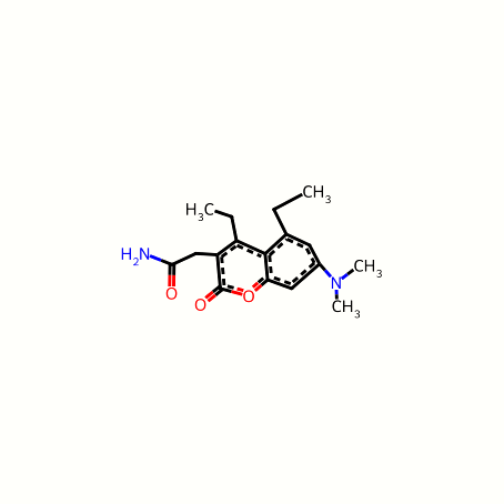 CCc1cc(N(C)C)cc2oc(=O)c(CC(N)=O)c(CC)c12